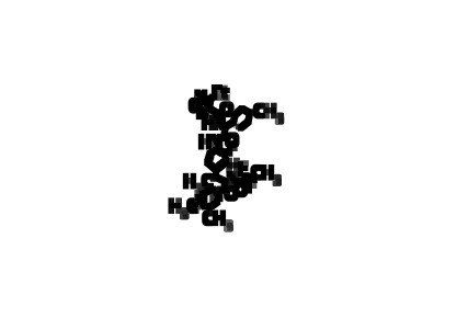 CCc1nonc1C(=O)N[C@H](C(=O)Nc1ccc([C@H](C)[C@@H](NC(=O)C(C)(F)F)C(=O)N2CCN(C)[C@H](C)C2)cc1F)[C@H]1CC[C@H](C)CC1